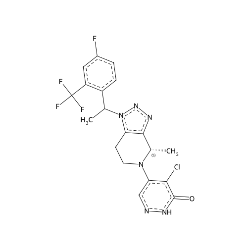 CC(c1ccc(F)cc1C(F)(F)F)n1nnc2c1CCN(c1cn[nH]c(=O)c1Cl)[C@H]2C